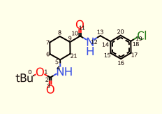 CC(C)(C)OC(=O)NC1CCCC(C(=O)NCc2cccc(Cl)c2)C1